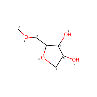 COCC1OCC(O)C1O